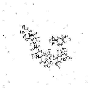 CNC(=O)C1(CC2(COc3cc4c(N[C@H](C)c5cc(N)cc(C(F)(F)F)c5)nc(C)nc4cc3OC)CC2)CCC(NC2CCN(c3ccc4c(c3)C(=O)N(C3CCC(=O)NC3=O)C4=O)CC2)CC1